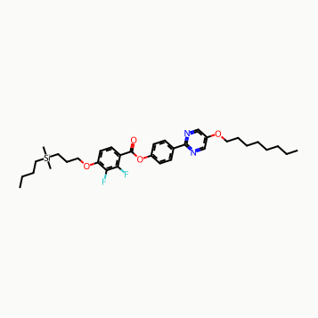 CCCCCCCCOc1cnc(-c2ccc(OC(=O)c3ccc(OCCC[Si](C)(C)CCCC)c(F)c3F)cc2)nc1